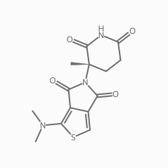 CN(C)c1scc2c1C(=O)N([C@@]1(C)CCC(=O)NC1=O)C2=O